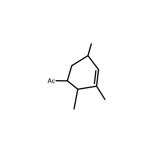 CC(=O)C1CC(C)C=C(C)C1C